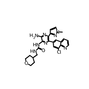 Cn1ccc(-c2nc(N)c(NC(=O)NCC3CCOCC3)nc2-c2cc(Cl)c3ncccc3c2)n1